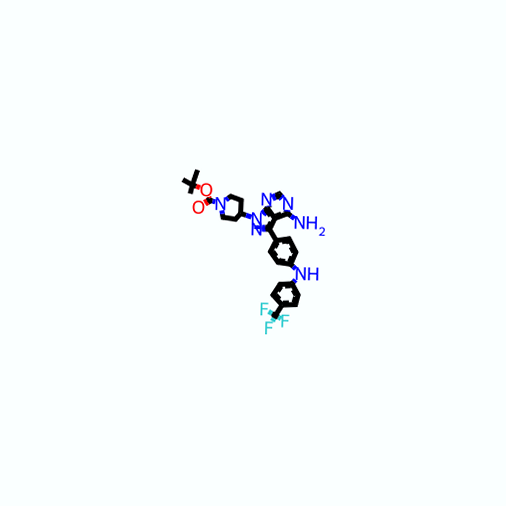 CC(C)(C)OC(=O)N1CCC(n2nc(-c3ccc(Nc4ccc(C(F)(F)F)cc4)cc3)c3c(N)ncnc32)CC1